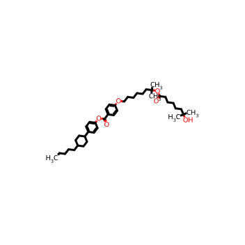 CCCCCC1CCC(c2ccc(OC(=O)c3ccc(OCCCCCCC(C)(C)OC(=O)CCCCCC(C)(C)O)cc3)cc2)CC1